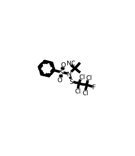 CC(C)(C#N)N(SC(Cl)(Cl)C(F)(Cl)Cl)S(=O)(=O)c1ccccc1